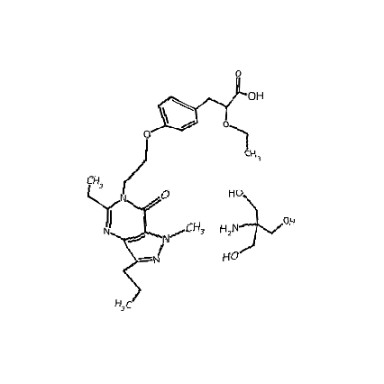 CCCc1nn(C)c2c(=O)n(CCOc3ccc(CC(OCC)C(=O)O)cc3)c(CC)nc12.NC(CO)(CO)CO